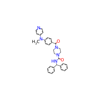 CN(c1ccncc1)c1ccc(C(=O)N2CCN(C(=O)NC(c3ccccc3)c3ccccc3)CC2)cc1